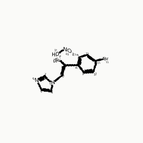 CC(C)(C)C(=Cn1ccnc1)c1ccc(Br)cc1.O=[N+]([O-])O